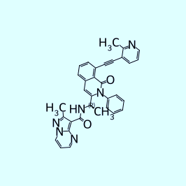 Cc1ncccc1C#Cc1cccc2cc([C@@H](C)NC(=O)c3c(C)nn4cccnc34)n(-c3ccccc3)c(=O)c12